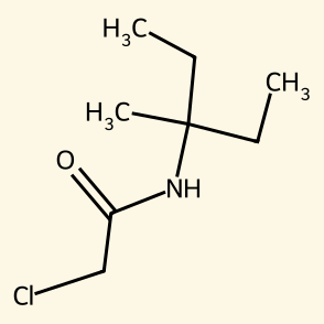 CCC(C)(CC)NC(=O)CCl